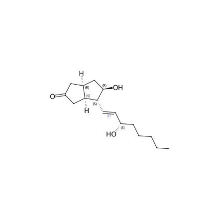 CCCCC[C@H](O)/C=C/[C@@H]1[C@H]2CC(=O)C[C@H]2C[C@H]1O